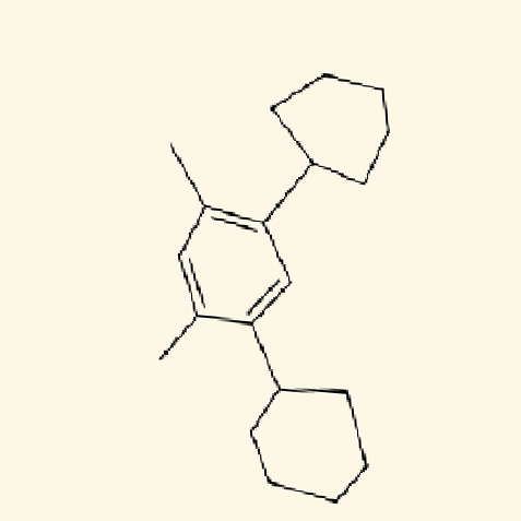 Cc1cc(C)c(C2CCCCC2)cc1C1CCCCC1